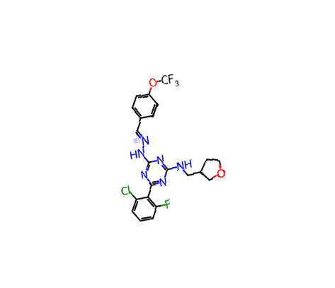 Fc1cccc(Cl)c1-c1nc(NCC2CCOC2)nc(N/N=C/c2ccc(OC(F)(F)F)cc2)n1